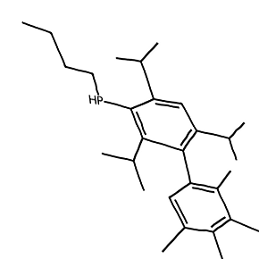 CCCCPc1c(C(C)C)cc(C(C)C)c(-c2cc(C)c(C)c(C)c2C)c1C(C)C